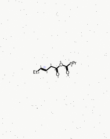 CC/C=C/CC(=O)OC(=O)CCC